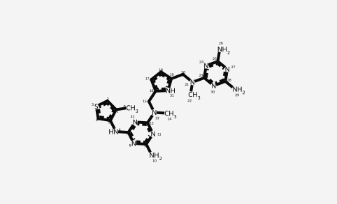 Cc1cscc1Nc1nc(N)nc(N(C)Cc2ccc(CN(C)c3nc(N)nc(N)n3)[nH]2)n1